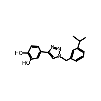 CC(C)c1cccc(Cn2cc(-c3ccc(O)c(O)c3)nn2)c1